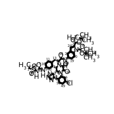 CCS(=O)(=O)NC(=O)Nc1ccc(C[C@@H](C(=O)Nc2ccc3c(c2)cc(C(=O)OC(C)(C)C)n3C(=O)OC(C)(C)C)N2CCN(c3cc(Cl)ccc3-n3cnnn3)C(=O)C2=O)cc1